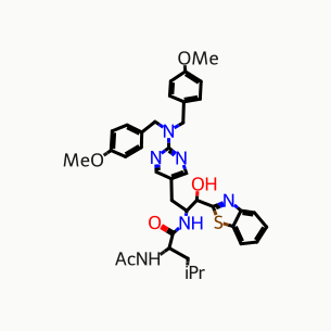 COc1ccc(CN(Cc2ccc(OC)cc2)c2ncc(CC(NC(=O)C(CC(C)C)NC(C)=O)C(O)c3nc4ccccc4s3)cn2)cc1